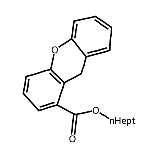 CCCCCCCOC(=O)c1cccc2c1Cc1ccccc1O2